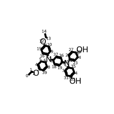 CCOC1=CCC(N(c2ccc(OCC)cc2)C2C=CC(N(C3=CCC(O)C=C3)C3C=CC(O)=CC3)C=C2)C=C1